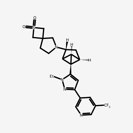 CCn1nc(-c2cncc(C(F)(F)F)c2)cc1[C@]12C3[C@H](N4CCC5(C4)CS(=O)(=O)C5)C[C@@H]1[C@H]32